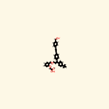 CC(C)(C)c1ccc(/C(=C/COCc2ccccc2OCC(=O)O)c2ccc(C#Cc3ccc(CO)cc3)cc2)cc1